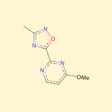 COc1ccnc(-c2nc(C)no2)n1